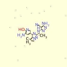 Cc1ccn2nc(C(C)Nc3ncnc(N)c3C#N)nc(-c3cnc(O)c(N)c3)c12